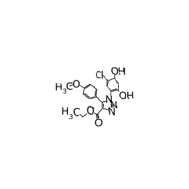 CCOC(=O)c1nnn(-c2cc(Cl)c(O)cc2O)c1-c1ccc(OC)cc1